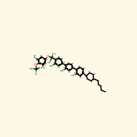 CCCCCC1CCC(c2ccc(-c3ccc(-c4ccc(C(F)(F)Oc5cc(F)c(OC(F)(F)F)c(F)c5)c(F)c4)c(F)c3)c(F)c2)CC1